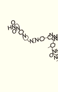 Cc1cc(-c2n[nH]c3ncc(-c4ccc(N5CCN(CC6CCN(c7ccc(N8CCC(=O)NC8=O)cc7)CC6)CC5)cc4)cc23)ccc1CNC(=O)c1csc(C(C)(C)C)n1